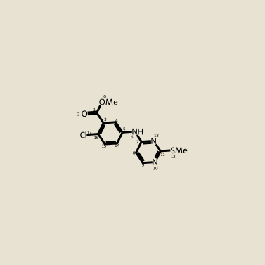 COC(=O)c1cc(Nc2ccnc(SC)n2)ccc1Cl